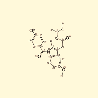 CCC(C)SC(=O)Cc1c(C)n(C(=O)c2ccc(Cl)cc2)c2ccc(OC)cc12